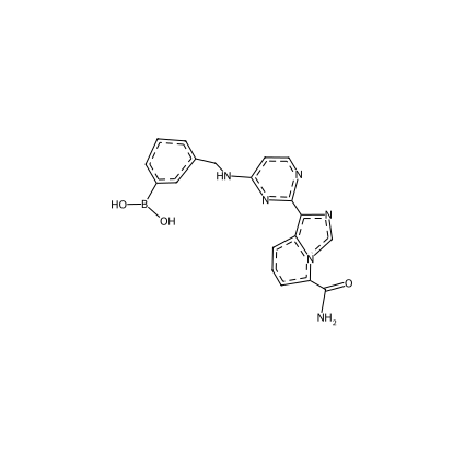 NC(=O)c1cccc2c(-c3nccc(NCc4cccc(B(O)O)c4)n3)ncn12